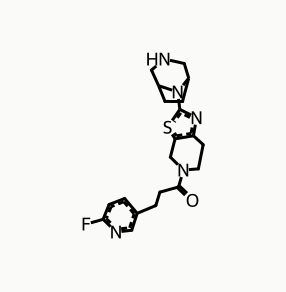 O=C(CCc1ccc(F)nc1)N1CCc2nc(N3C4CCC3CNC4)sc2C1